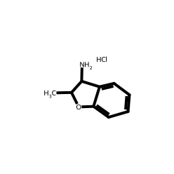 CC1Oc2ccccc2C1N.Cl